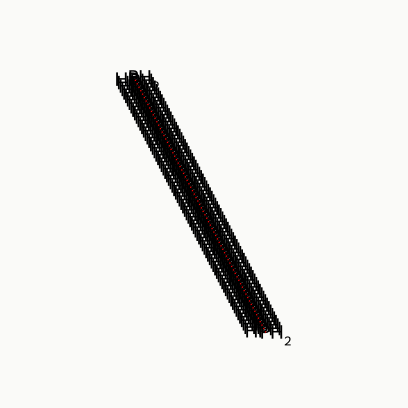 PPPPPPPPPPPPPPPPPPPPPPPPPPPPPPPPPPPPPPPPPPPPPPPPPPPPPPPPPPPPPPPPPPPPPPPPPPPPPPPPPPPPPPPPPPPPPPPPPPPPPPPPPPPPPPPPPPPPPPPPPPPPPPPPPPPPPPPPPPPPPPPPPPPPP